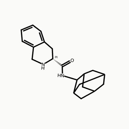 O=C(NC1C2CC3CC(C2)CC1C3)[C@H]1Cc2ccccc2CN1